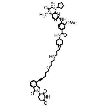 CC[C@@H]1C(=O)N(C)c2cnc(Nc3ccc(C(=O)NC4CCN(CCCNCCCOCCCC#Cc5cccc6c5CN(C5CCC(=O)NC5=O)C6=O)CC4)cc3OC)nc2N1C1CCCC1